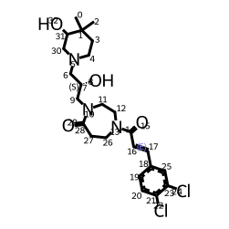 CC1(C)CCN(C[C@H](O)CN2CCN(C(=O)/C=C/c3ccc(Cl)c(Cl)c3)CCC2=O)CC1O